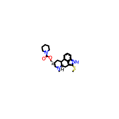 CSc1[nH]c2cccc3c2c1C[C@@H]1C3C[C@@H](COC(=O)N2CCCCC2)CN1C